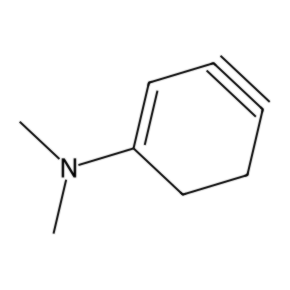 CN(C)C1=CC#CCC1